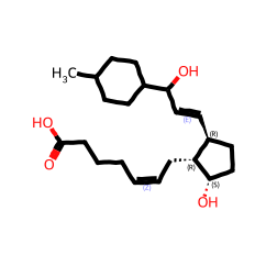 CC1CCC(C(O)/C=C/[C@H]2CC[C@H](O)[C@@H]2C/C=C\CCCC(=O)O)CC1